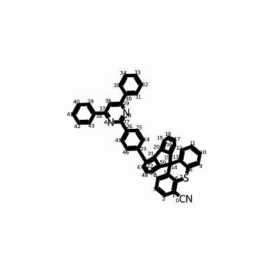 N#Cc1cccc2c1Sc1ccccc1C21c2ccccc2-c2c(-c3ccc(-c4nc(-c5ccccc5)cc(-c5ccccc5)n4)cc3)cccc21